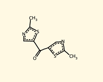 Cc1ncc(C(=O)c2cnc(C)s2)s1